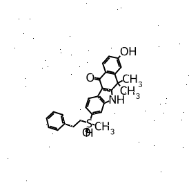 CC1(C)c2cc(O)ccc2C(=O)c2c1[nH]c1cc([SH](C)(=O)CCc3ccccc3)ccc21